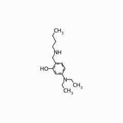 CCCCNCc1ccc(N(CC)CC)cc1O